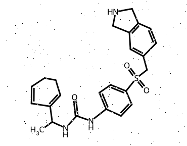 CC(NC(=O)Nc1ccc(S(=O)(=O)Cc2ccc3c(c2)CNC3)cc1)C1=CCCC=C1